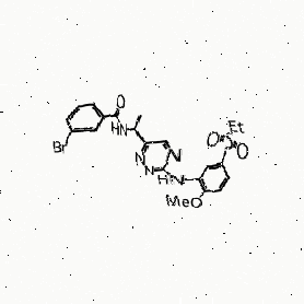 CCS(=O)(=O)c1ccc(OC)c(Nc2ncc(C(C)NC(=O)c3cccc(Br)c3)nn2)c1